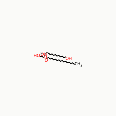 CCCCCCCCCCCCCCCCCC(=O)OCC(O)CO.CCCCCCCCCCCCO